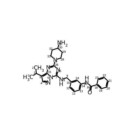 CC(C)c1cnn2c(NCc3cccc(NC(=O)c4ccccc4)c3)nc(N3CCC(N)CC3)nc12